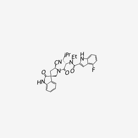 CCN(C(=O)c1cc2c(F)cccc2[nH]1)[C@@H](CC(C)C)C(=O)N1C[C@]2(C[C@H]1C#N)C(=O)Nc1ccccc12